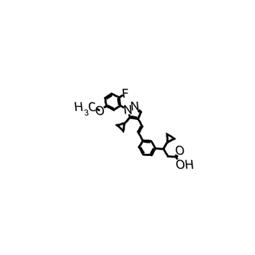 COc1ccc(F)c(-n2ncc(C=Cc3cccc(C(CC(=O)O)C4CC4)c3)c2C2CC2)c1